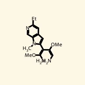 CCc1cc2cc(C(/C(=C\N)OC)=C(/N)OC)n(C)c2cn1